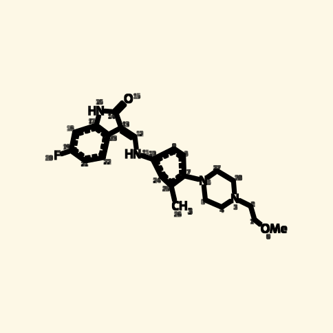 COCCN1CCN(c2ccc(N/C=C3/C(=O)Nc4cc(F)ccc43)cc2C)CC1